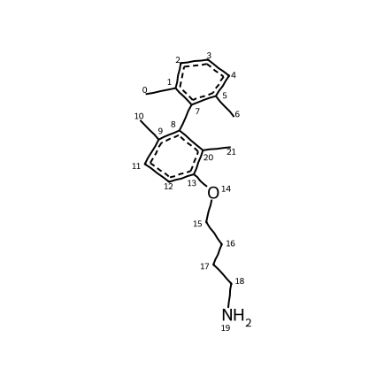 Cc1cccc(C)c1-c1c(C)ccc(OCCCCN)c1C